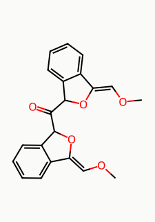 COC=C1OC(C(=O)C2OC(=COC)c3ccccc32)c2ccccc21